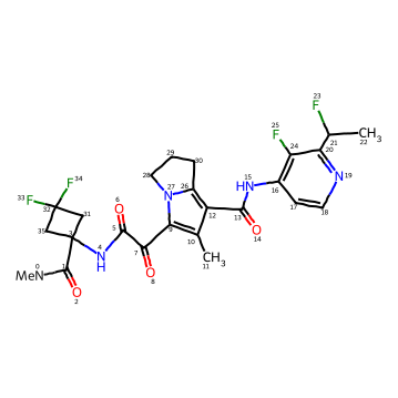 CNC(=O)C1(NC(=O)C(=O)c2c(C)c(C(=O)Nc3ccnc(C(C)F)c3F)c3n2CCC3)CC(F)(F)C1